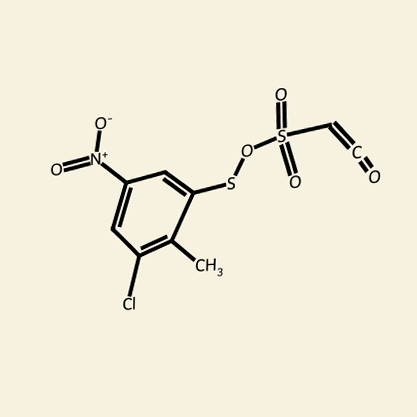 Cc1c(Cl)cc([N+](=O)[O-])cc1SOS(=O)(=O)C=C=O